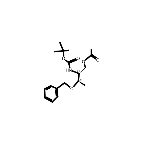 CC(=O)OC[C@@H](NC(=O)OC(C)(C)C)[C@@H](C)OCc1ccccc1